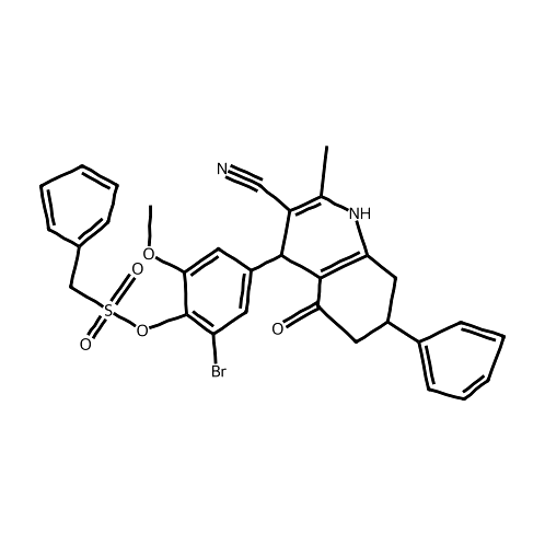 COc1cc(C2C(C#N)=C(C)NC3=C2C(=O)CC(c2ccccc2)C3)cc(Br)c1OS(=O)(=O)Cc1ccccc1